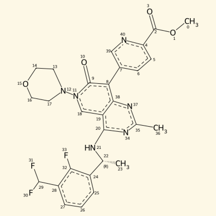 COC(=O)c1ccc(-c2c(=O)n(N3CCOCC3)cc3c(N[C@H](C)c4cccc(C(F)F)c4F)nc(C)nc23)cn1